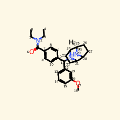 CCN(CC)C(=O)c1ccc(C(c2cccc(OC)c2)N2C3CCC2[C@H]2CCC3N2)cc1